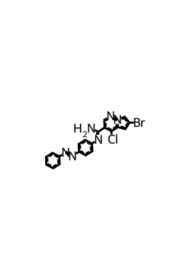 NC(=Nc1ccc(N=Nc2ccccc2)cc1)c1cnn2cc(Br)cc2c1Cl